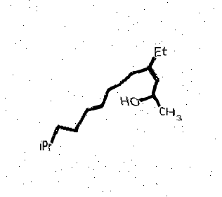 CCC(CCCCCCCC(C)C)CC(C)O